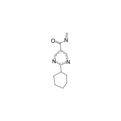 C=NC(=O)c1cnc(C2CCCCC2)nc1